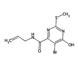 C=CCNC(=O)c1nc(SC)nc(O)c1Br